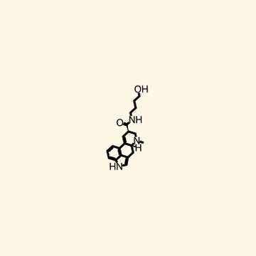 CN1C[C@H](C(=O)NCCCCO)C=C2c3cccc4[nH]cc(c34)C[C@H]21